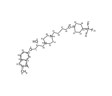 Cc1nc2cc(OC[C@H](O)CN3CCN(CCCCOC4CCC(C(F)(F)F)CC4)CC3)ccc2s1